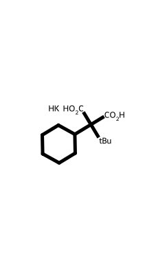 CC(C)(C)C(C(=O)O)(C(=O)O)C1CCCCC1.[KH]